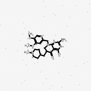 COc1cnc(CN2CC(CC3CCN(C)CC3)C(=O)c3c(Cl)nc(N)nc32)cc1OC